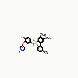 COc1cc(-c2cccc(C#N)c2)c(S(=O)(=O)Nc2ccc(Cl)c(O[C@@H]3CCN(C)C3)c2)cc1OC